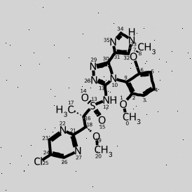 COc1cccc(OC)c1-n1c(NS(=O)(=O)[C@@H](C)[C@H](OC)c2ncc(Cl)cn2)nnc1-c1c[nH]cn1